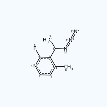 Cc1ccnc(F)c1C(C)N=[N+]=[N-]